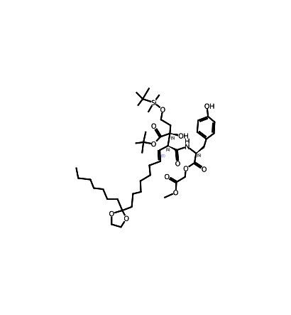 CCCCCCCC1(CCCCCC/C=C/[C@H](C(=O)N[C@@H](Cc2ccc(O)cc2)C(=O)OCC(=O)OC)[C@@](O)(CCO[Si](C)(C)C(C)(C)C)C(=O)OC(C)(C)C)OCCO1